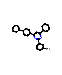 Cc1cccc(-c2nc(-c3ccccc3)cc(-c3ccc(-c4ccccc4)cc3)n2)c1